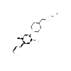 C=c1cc(N2CCC(CNBOC)CC2)c(N)c/c1=C/C=C\N